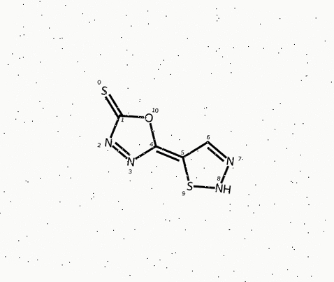 S=C1N=N/C(=C2/C=NNS2)O1